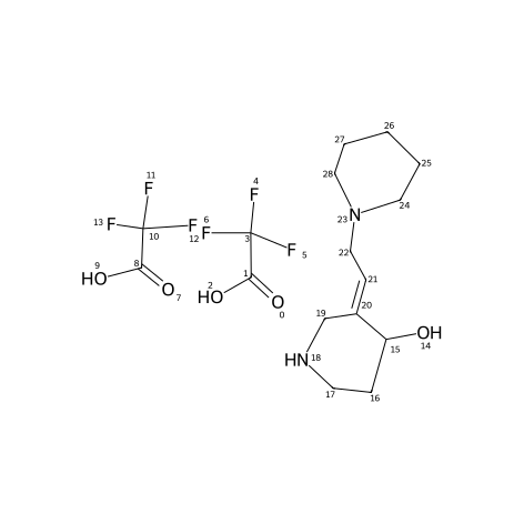 O=C(O)C(F)(F)F.O=C(O)C(F)(F)F.OC1CCNC/C1=C\CN1CCCCC1